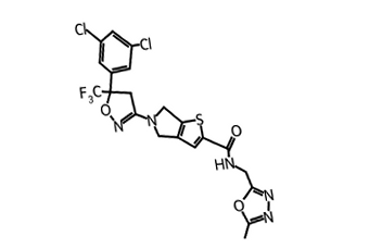 Cc1nnc(CNC(=O)c2cc3c(s2)CN(C2=NOC(c4cc(Cl)cc(Cl)c4)(C(F)(F)F)C2)C3)o1